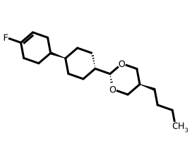 CCCC[C@H]1CO[C@H]([C@H]2CC[C@H](C3CC=C(F)CC3)CC2)OC1